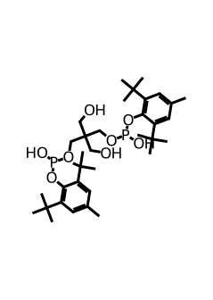 Cc1cc(C(C)(C)C)c(OP(O)OCC(CO)(CO)COP(O)Oc2c(C(C)(C)C)cc(C)cc2C(C)(C)C)c(C(C)(C)C)c1